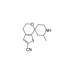 CC1CC2(CCN1)OCCc1cc(C#N)sc12